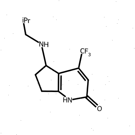 CC(C)CNC1CCc2[nH]c(=O)cc(C(F)(F)F)c21